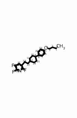 CCCCOc1ccc(C2CCC(CCc3cc(F)c(F)nc3F)CC2)cc1